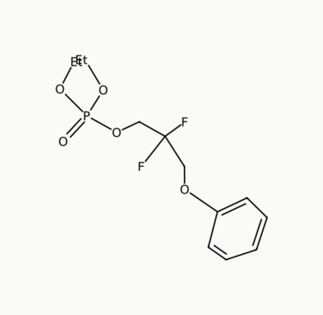 CCOP(=O)(OCC)OCC(F)(F)COc1ccccc1